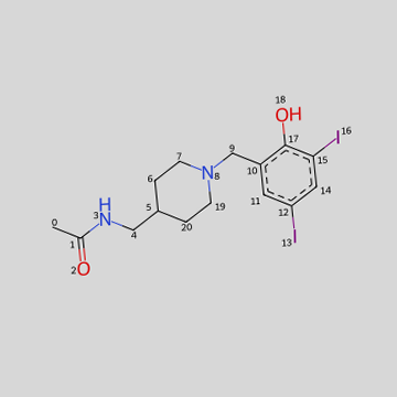 CC(=O)NCC1CCN(Cc2cc(I)cc(I)c2O)CC1